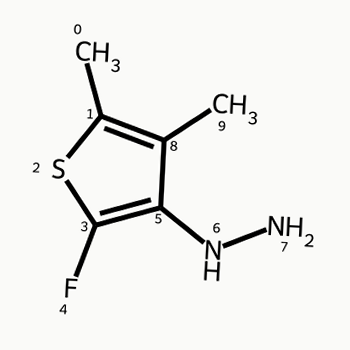 Cc1sc(F)c(NN)c1C